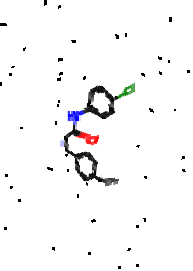 CC(C)c1ccc(/C=C\C(=O)Nc2ccc(Cl)cc2)cc1